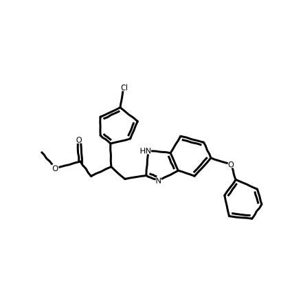 COC(=O)CC(Cc1nc2cc(Oc3ccccc3)ccc2[nH]1)c1ccc(Cl)cc1